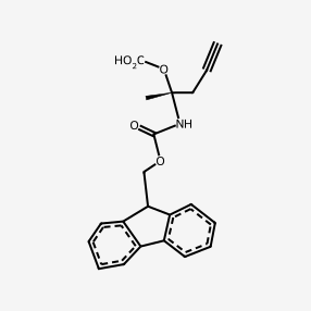 C#CC[C@](C)(NC(=O)OCC1c2ccccc2-c2ccccc21)OC(=O)O